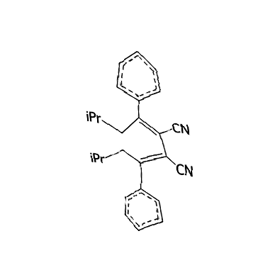 CC(C)CC(=C(C#N)C(C#N)=C(CC(C)C)c1ccccc1)c1ccccc1